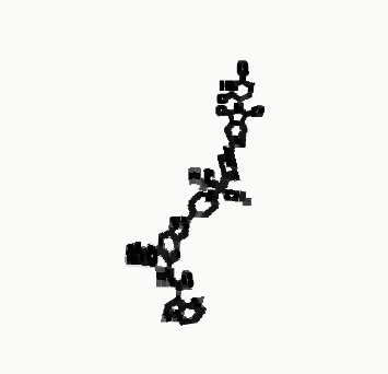 COc1cc2nn(C3CCN(C(C)(C)C4CN(c5ccc6c(c5)C(=O)N(C5CCC(=O)NC5=O)C6=O)C4)CC3)cc2cc1NC(=O)c1cnn2cccnc12